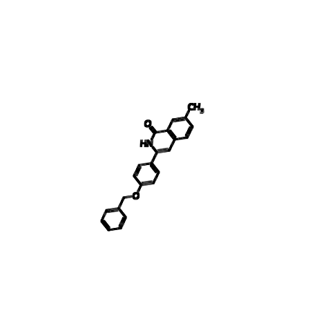 Cc1ccc2cc(-c3ccc(OCc4ccccc4)cc3)[nH]c(=O)c2c1